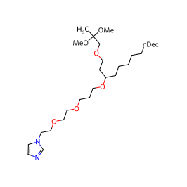 CCCCCCCCCCCCCCCC(CCOCC(C)(OC)OC)OCCCOCCOCCn1ccnc1